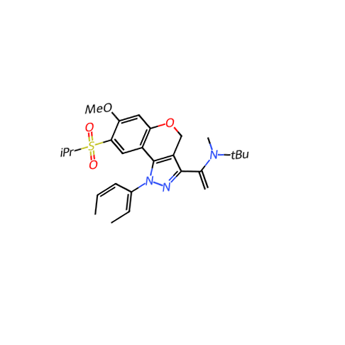 C=C(c1nn(C(/C=C\C)=C/C)c2c1COc1cc(OC)c(S(=O)(=O)C(C)C)cc1-2)N(C)C(C)(C)C